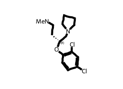 CNCC[C@H](CN1CCCC1)Oc1ccc(Cl)cc1Cl